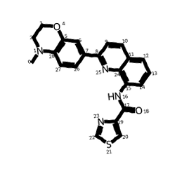 CN1CCOc2cc(-c3ccc4cccc(NC(=O)c5cscn5)c4n3)ccc21